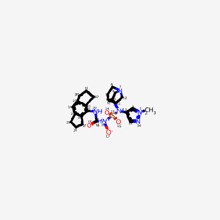 Cn1cc(N(C2CN3CCC2CC3)S(=O)(=O)[NH+]([O-])C(=O)Nc2c3c(cc4c2CCC4)CCC3)cn1